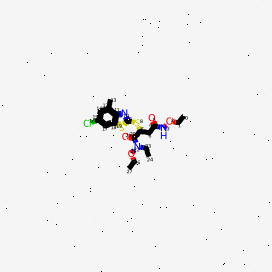 CCONC(=O)CC(Sc1nc2c(C)cc(Cl)cc2s1)C(=O)N(CC)OCC